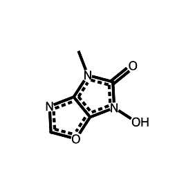 Cn1c(=O)n(O)c2ocnc21